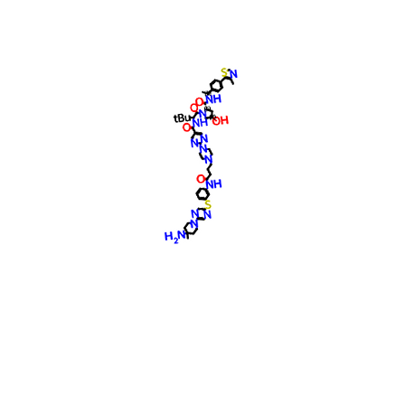 Cc1ncsc1-c1ccc([C@H](C)NC(=O)[C@@H]2C[C@@H](O)CN2C(=O)C(NC(=O)c2cnc(N3CCN(CCCC(=O)Nc4cccc(Sc5cnc(N6CCC(C)(N)CC6)cn5)c4)CC3)nc2)C(C)(C)C)cc1